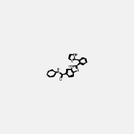 O=C(NC1CCCCC1)c1ccc2nc(-c3ccccc3-c3ncc[nH]3)[nH]c2c1